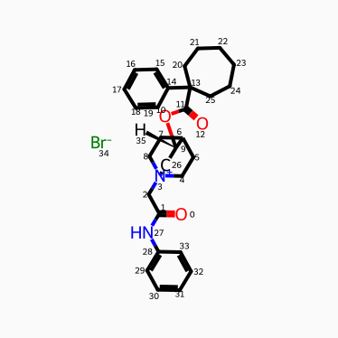 O=C(C[N+]12CCC(CC1)[C@@H](OC(=O)C1(c3ccccc3)CCCCCC1)C2)Nc1ccccc1.[Br-]